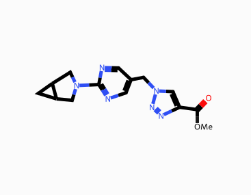 COC(=O)c1cn(Cc2cnc(N3CC4CC4C3)nc2)nn1